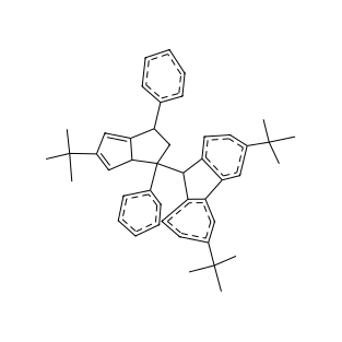 CC(C)(C)C1=CC2C(=C1)C(c1ccccc1)CC2(c1ccccc1)C1c2ccc(C(C)(C)C)cc2-c2cc(C(C)(C)C)ccc21